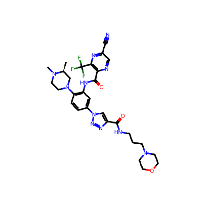 C[C@H]1CN(c2ccc(-n3cc(C(=O)NCCCN4CCOCC4)nn3)cc2NC(=O)c2ncc(C#N)nc2C(F)(F)F)CCN1C